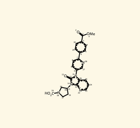 COC(=O)c1ccc(-c2ccc(-n3c(=O)n([C@H]4CCN(C(=O)O)C4)c4ncccc43)cn2)cc1